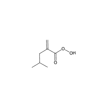 C=C(CC(C)C)C(=O)OO